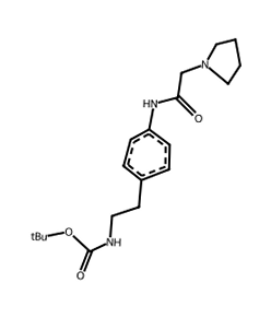 CC(C)(C)OC(=O)NCCc1ccc(NC(=O)CN2CCCC2)cc1